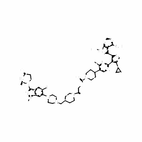 Cc1nc(-c2c(-c3nn(C(C)C)c4ncnc(N)c34)noc2C2CC2)ncc1C1CCN(C(=O)OCC(=O)N2CCC(CN3CCN(c4cc5c(cc4F)c(N4CCC(=O)NC4=O)nn5C)CC3)CC2)CC1